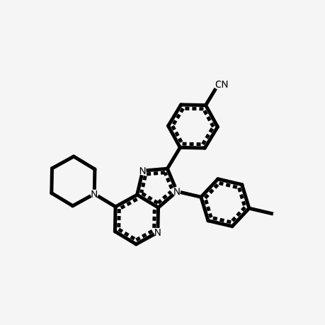 Cc1ccc(-n2c(-c3ccc(C#N)cc3)nc3c(N4CCCCC4)ccnc32)cc1